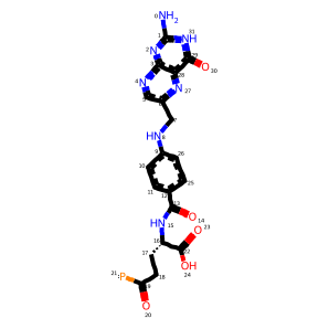 Nc1nc2ncc(CNc3ccc(C(=O)N[C@@H](CCC(=O)[P])C(=O)O)cc3)nc2c(=O)[nH]1